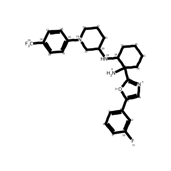 NC1(c2ncc(-c3cccc(F)c3)o2)CCCCC1NC1CCCN(c2ccc(C(F)(F)F)cc2)C1